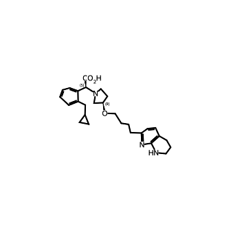 O=C(O)[C@H](c1ccccc1CC1CC1)N1CC[C@@H](OCCCCc2ccc3c(n2)NCCC3)C1